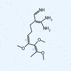 CO/C(C)=C(OC)/C(=C\CCC(C=N)=C(N)N)OC